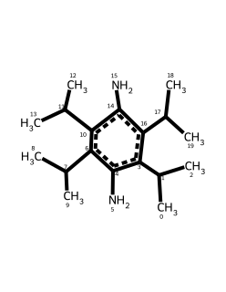 CC(C)c1c(N)c(C(C)C)c(C(C)C)c(N)c1C(C)C